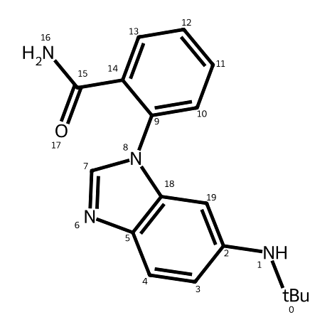 CC(C)(C)Nc1ccc2ncn(-c3ccccc3C(N)=O)c2c1